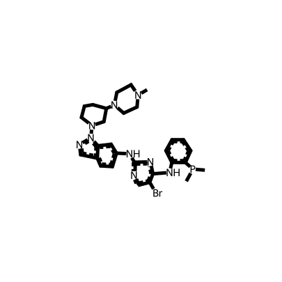 CN1CCN(C2CCCN(n3ncc4ccc(Nc5ncc(Br)c(Nc6ccccc6P(C)C)n5)cc43)C2)CC1